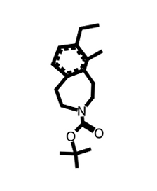 CCc1ccc2c(c1C)CCN(C(=O)OC(C)(C)C)CC2